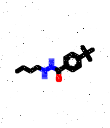 CCCCNNC(=O)c1ccc(C(C)(C)C)cc1